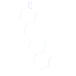 Fc1ccc(CCCC2CCNCC2)c(F)c1